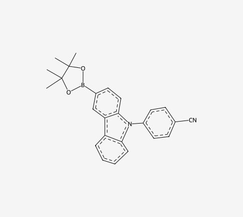 CC1(C)OB(c2ccc3c(c2)c2ccccc2n3-c2ccc(C#N)cc2)OC1(C)C